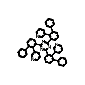 c1ccc(-c2cccc(-c3nc(-c4cccc(-c5ccccc5)c4-c4cccnc4)nc(-c4cccc(-c5ccccc5)c4-c4cccnc4)n3)c2-c2cccnc2)cc1